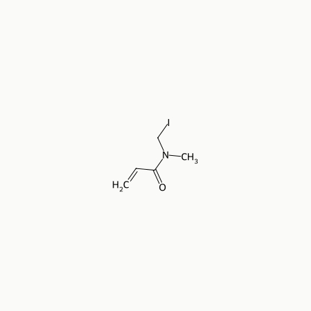 C=CC(=O)N(C)CI